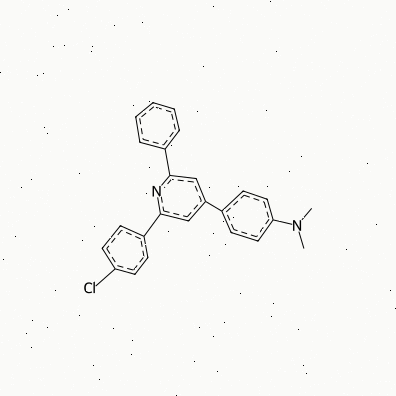 CN(C)c1ccc(-c2cc(-c3ccccc3)nc(-c3ccc(Cl)cc3)c2)cc1